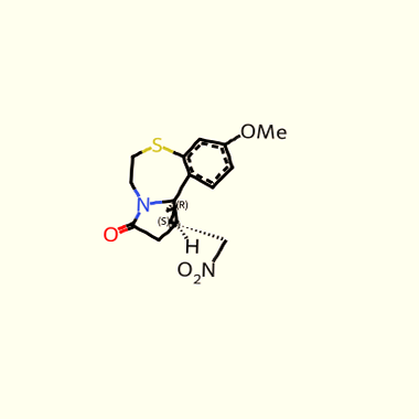 COc1ccc2c(c1)SCCN1C(=O)C[C@H]3[C@H](C[N+](=O)[O-])CC[C@]231